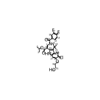 CC(C)OC(=O)C1=CN(C(=O)c2ccc(F)c(F)c2)CC(C)(C)c2c1[nH]c1cc(OCCO)c(Cl)nc21